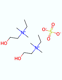 CC[N+](C)(C)CCO.CC[N+](C)(C)CCO.O=S(=O)([O-])[O-]